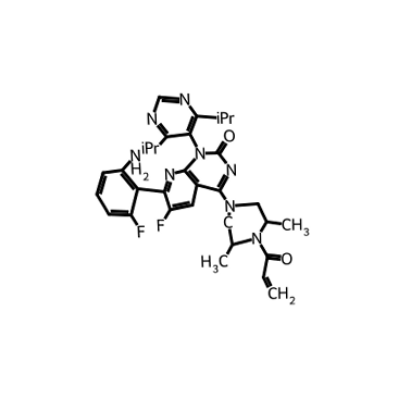 C=CC(=O)N1C(C)CN(c2nc(=O)n(-c3c(C(C)C)ncnc3C(C)C)c3nc(-c4c(N)cccc4F)c(F)cc23)CC1C